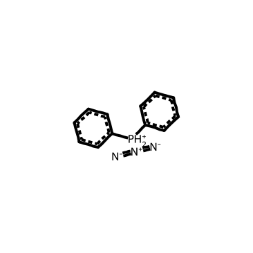 [N-]=[N+]=[N-].c1ccc([PH2+]c2ccccc2)cc1